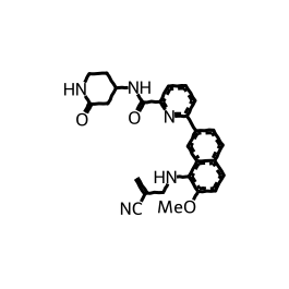 C=C(C#N)CNc1c(OC)ccc2ccc(-c3cccc(C(=O)NC4CCNC(=O)C4)n3)cc12